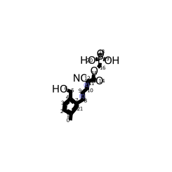 Cc1ccc(CO)c(/C=C/C=C(\C#N)C(=O)OCP(=O)(O)O)c1